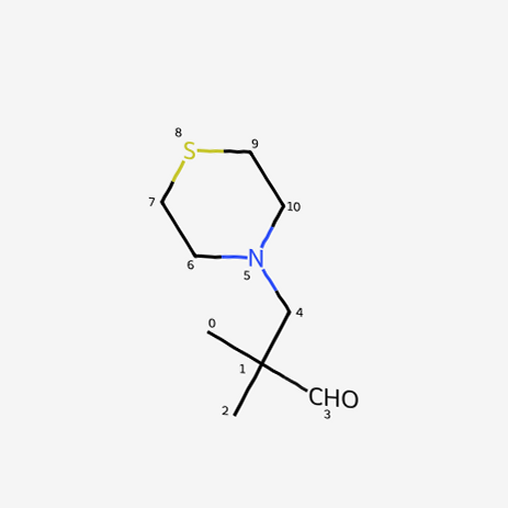 CC(C)(C=O)CN1CCSCC1